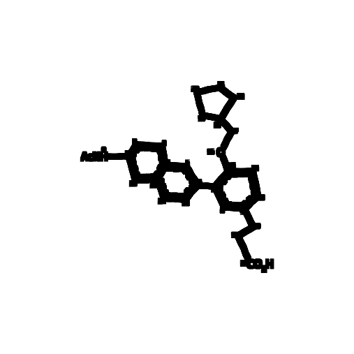 CC(=O)Nc1ccc2cc(-c3cc(CCC(=O)O)ccc3OCC3CCCC3)ccc2c1